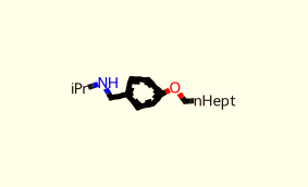 CCCCCCCCOc1ccc(CNC(C)C)cc1